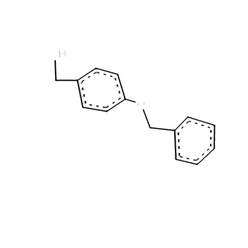 C[CH]c1ccc(OCc2ccccc2)cc1